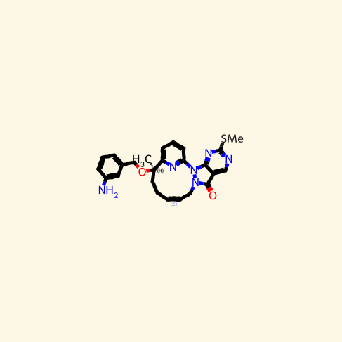 CSc1ncc2c(=O)n3n(c2n1)-c1cccc(n1)[C@](C)(OCc1cccc(N)c1)CC/C=C\C3